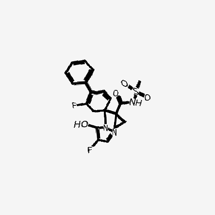 CS(=O)(=O)NC(=O)C1(C2(n3ncc(F)c3O)C=CC(c3ccccc3)=C(F)C2)CC1